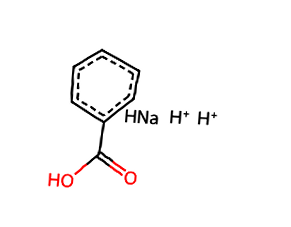 O=C(O)c1ccccc1.[H+].[H+].[NaH]